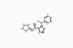 CC(c1ccccc1)n1cncc1C(=O)OC1CCCC1